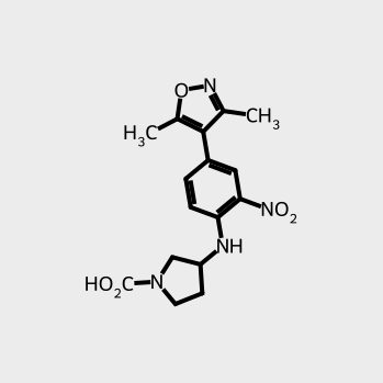 Cc1noc(C)c1-c1ccc(NC2CCN(C(=O)O)C2)c([N+](=O)[O-])c1